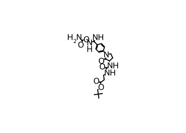 CC(C)(C)COC(=O)CCNC(=O)N[C@H]1CCN(c2ccc(C(=N)NOC(N)=O)cc2)C1=O